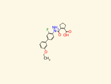 CCOc1cccc(-c2ccc(N(N)C(=O)C3=C(C(=O)O)CCC3)c(F)c2)c1